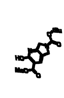 COC(=O)c1cc2c(nc1O)CN(C(=O)OC(C)(C)C)C2